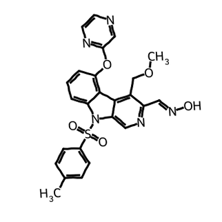 COCc1c(C=NO)ncc2c1c1c(Oc3cnccn3)cccc1n2S(=O)(=O)c1ccc(C)cc1